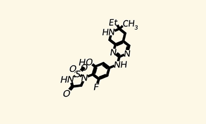 CCC1(C)Cc2cnc(Nc3cc(O)c(N4CC(=O)NS4(=O)=O)c(F)c3)nc2CN1